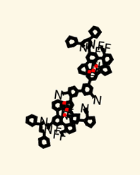 N#Cc1cc(-c2ccc(C#N)c(-c3ccc4c(c3)c3cc(-c5ccccc5C#N)ccc3n4-c3c(-c4ccccc4C(F)(F)F)cc(-c4nc(-c5ccccc5)cc(-c5ccccc5)n4)cc3-c3ccccc3C(F)(F)F)c2)cc(-c2ccc3c(c2)c2ccccc2n3-c2c(-c3ccccc3C(F)(F)F)cc(-c3nc(-c4ccccc4)cc(-c4ccccc4)n3)cc2-c2ccccc2C(F)(F)F)c1